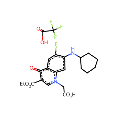 CCOC(=O)c1cn(CC(=O)O)c2cc(NC3CCCCC3)c(F)cc2c1=O.O=C(O)C(F)(F)F